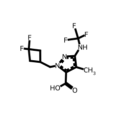 Cc1c(NC(F)(F)F)nn(CC2CC(F)(F)C2)c1C(=O)O